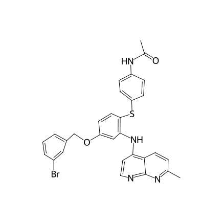 CC(=O)Nc1ccc(Sc2ccc(OCc3cccc(Br)c3)cc2Nc2ccnc3nc(C)ccc23)cc1